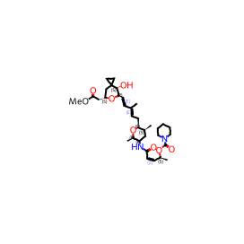 COC(=O)C[C@@H]1CC2(CC2)[C@H](O)[C@@H](/C=C/C(C)=C/C[C@@H]2O[C@H](C)[C@H](NC(=O)/C=C\[C@H](C)OC(=O)N3CCCCC3)C[C@@H]2C)O1